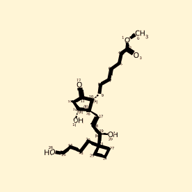 COC(=O)CCCCCC[C@H]1C(=O)C[C@@H](O)[C@@H]1C=C[C@@H](O)C1(CCCCO)CCC1